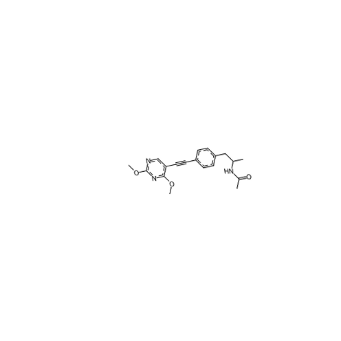 COc1ncc(C#Cc2ccc(CC(C)NC(C)=O)cc2)c(OC)n1